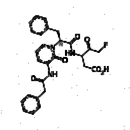 O=C(O)CC(NC(=O)[C@H](Cc1ccccc1)n1cccc(NC(=O)Cc2ccccc2)c1=O)C(=O)CF